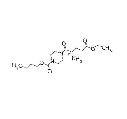 CCCCOC(=O)N1CCN(C(=O)[C@@H](N)CCC(=O)OCC)CC1